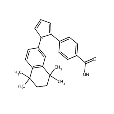 CC1(C)CCC(C)(C)c2cc(-n3cccc3-c3ccc(C(=O)O)cc3)ccc21